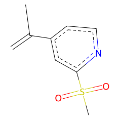 C=C(C)c1ccnc(S(C)(=O)=O)c1